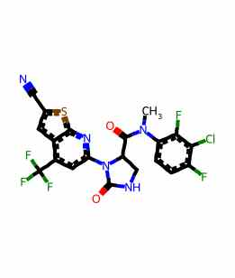 CN(C(=O)C1CNC(=O)N1c1cc(C(F)(F)F)c2cc(C#N)sc2n1)c1ccc(F)c(Cl)c1F